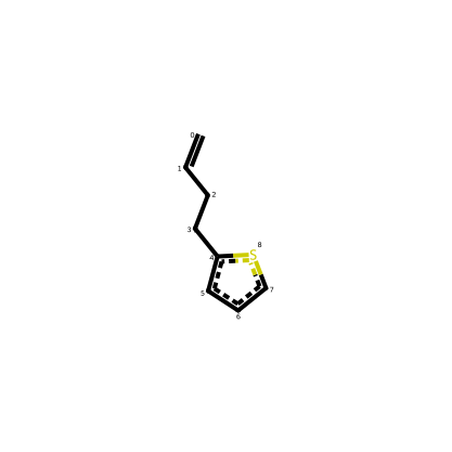 C=CC[CH]c1cccs1